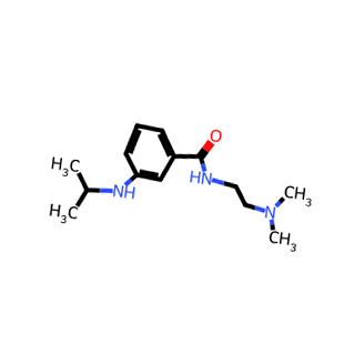 CC(C)Nc1cccc(C(=O)NCCN(C)C)c1